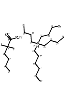 CCCCC(C)(C)C(=O)O.CCCCCC[PH](CCCC)(CCCC)CCCC